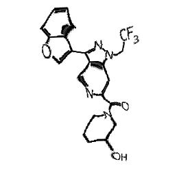 O=C(c1cc2c(cn1)c(-c1coc3ccccc13)nn2CC(F)(F)F)N1CCCC(O)C1